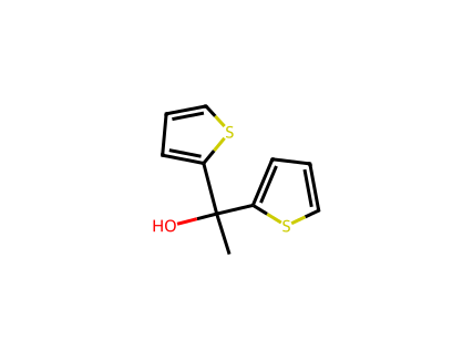 CC(O)(c1cccs1)c1cccs1